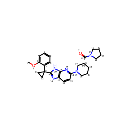 COc1ccccc1C1(c2nc3ccc(N4CCC[C@@H](C(=O)N5CCCC5)C4)nc3[nH]2)CC1